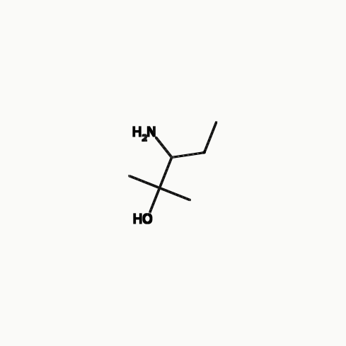 CCC(N)C(C)(C)O